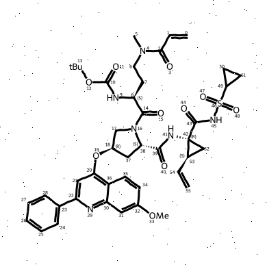 C=CC(=O)N(C)CC[C@H](NC(=O)OC(C)(C)C)C(=O)N1C[C@H](Oc2cc(-c3ccccc3)nc3cc(OC)ccc23)C[C@H]1C(=O)N[C@]1(C(=O)NS(=O)(=O)C2CC2)C[C@H]1C=C